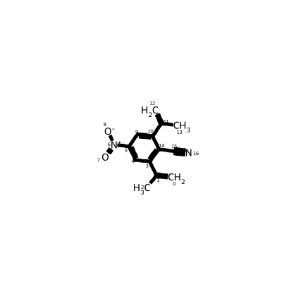 C=C(C)c1cc([N+](=O)[O-])cc(C(=C)C)c1C#N